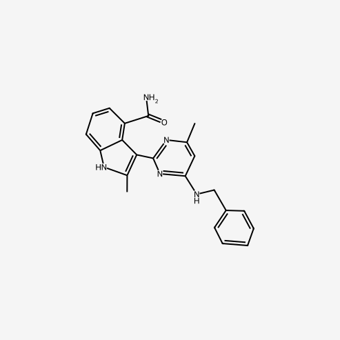 Cc1cc(NCc2ccccc2)nc(-c2c(C)[nH]c3cccc(C(N)=O)c23)n1